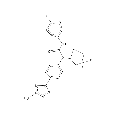 Cn1nnc(-c2ccc(C(C(=O)Nc3ccc(F)cn3)C3CCC(F)(F)C3)cc2)n1